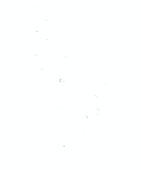 COC(=O)c1ccc2c(c1)NC(=O)C2=C(C)Nc1ccc(CN(C)C)cc1